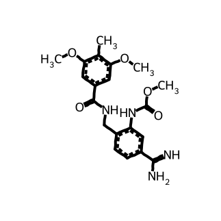 COC(=O)Nc1cc(C(=N)N)ccc1CNC(=O)c1cc(OC)c(C)c(OC)c1